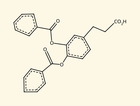 O=C(O)CCc1ccc(OC(=O)c2ccccc2)c(OC(=O)c2ccccc2)c1